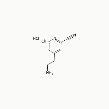 Cl.Cl.N#Cc1cc(CCN)ccn1